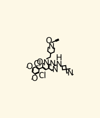 C#CC(=O)N1CCC(CCn2c(=O)c(-c3c(Cl)c(OC)cc(OC)c3Cl)cc3cnc(NC4CC5(C4)CN(C)C5)nc32)CC1